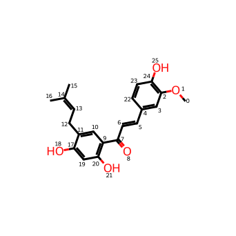 COc1cc(/C=C/C(=O)c2cc(CC=C(C)C)c(O)cc2O)ccc1O